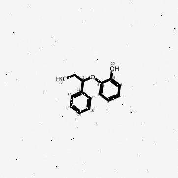 CCC(Oc1ccccc1O)c1ccccc1